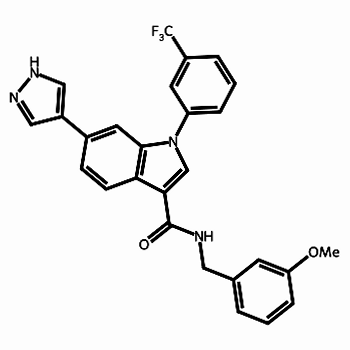 COc1cccc(CNC(=O)c2cn(-c3cccc(C(F)(F)F)c3)c3cc(-c4cn[nH]c4)ccc23)c1